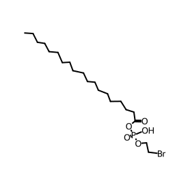 CCCCCCCCCCCCCCCCCCC(=O)OP(=O)(O)OCCBr